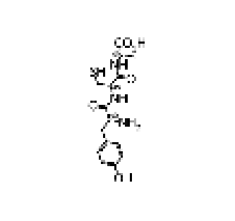 C[C@H](NC(=O)[C@H](CS)NC(=O)[C@@H](N)Cc1ccc(O)cc1)C(=O)O